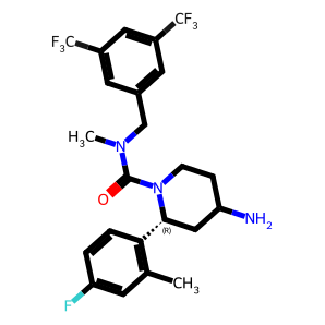 Cc1cc(F)ccc1[C@H]1CC(N)CCN1C(=O)N(C)Cc1cc(C(F)(F)F)cc(C(F)(F)F)c1